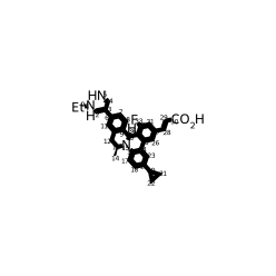 CCN/C=C(\C=N)c1ccc2c(c1)C[C@H](C)N1c3ccc(C4CC4)cc3-c3cc(/C=C/C(=O)O)cc(F)c3[C@@H]21